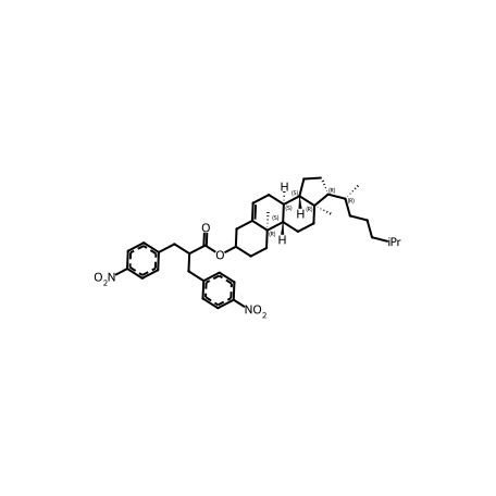 CC(C)CCC[C@@H](C)[C@H]1CC[C@H]2[C@@H]3CC=C4CC(OC(=O)C(Cc5ccc([N+](=O)[O-])cc5)Cc5ccc([N+](=O)[O-])cc5)CC[C@]4(C)[C@H]3CC[C@]12C